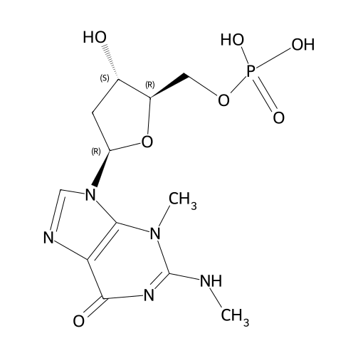 CNc1nc(=O)c2ncn([C@H]3C[C@H](O)[C@@H](COP(=O)(O)O)O3)c2n1C